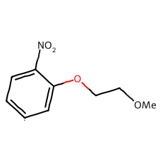 COCCOc1c[c]ccc1[N+](=O)[O-]